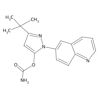 CC(C)(C)c1cc(OC(N)=O)n(-c2ccc3ncccc3c2)n1